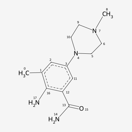 Cc1cc(N2CCN(C)CC2)cc(C(N)=O)c1N